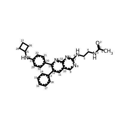 CC(=O)NCCNc1ncc2cc(-c3ccccc3)c(-c3ccc(NC4CCC4)cc3)nc2n1